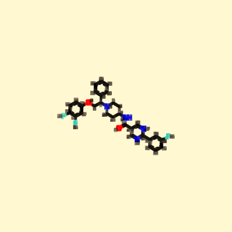 O=C(NC1CCN(C(COc2ccc(F)c(F)c2)c2ccccc2)CC1)c1cnc(-c2cccc(F)c2)nc1